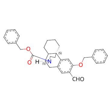 O=Cc1cc2c(cc1OCc1ccccc1)[C@]13CCCCC1[C@H](C2)N(C(=O)OCc1ccccc1)CC3